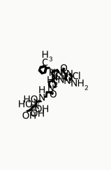 Cc1ccccc1C[C@H](CNC(=O)c1nc(Cl)c(N)nc1N)CN(C)C1CCN(C(=O)CCNC[C@H](O)[C@@H](O)[C@H](O)[C@H](O)CO)CC1